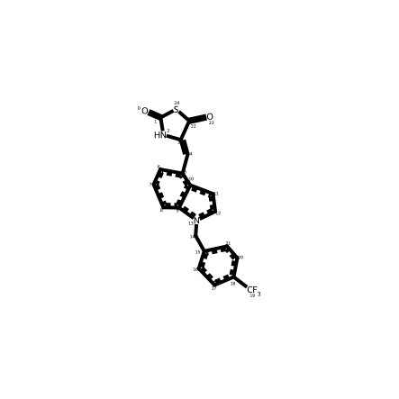 O=C1NC(=Cc2cccc3c2ccn3Cc2ccc(C(F)(F)F)cc2)C(=O)S1